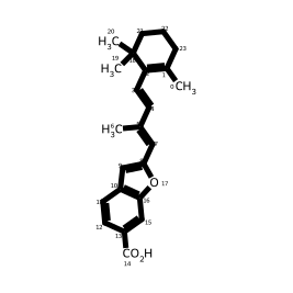 CC1=C(/C=C/C(C)=C/c2cc3ccc(C(=O)O)cc3o2)C(C)(C)CCC1